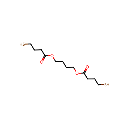 O=C(CCCS)OCCCCOC(=O)CCCS